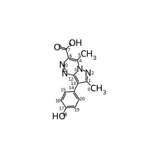 Cc1nn2c(C)c(C(=O)O)nnc2c1-c1ccc(O)cc1